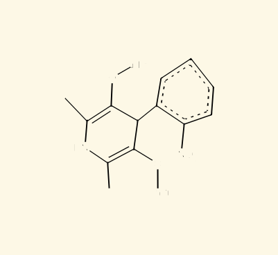 CCCOC1=C(C)NC(C)=C(OCCC)C1c1ccccc1[N+](=O)[O-]